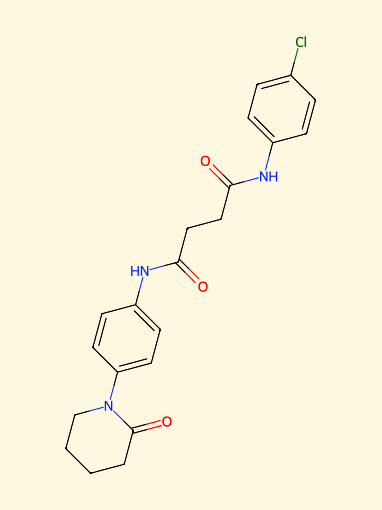 O=C(CCC(=O)Nc1ccc(N2CCCCC2=O)cc1)Nc1ccc(Cl)cc1